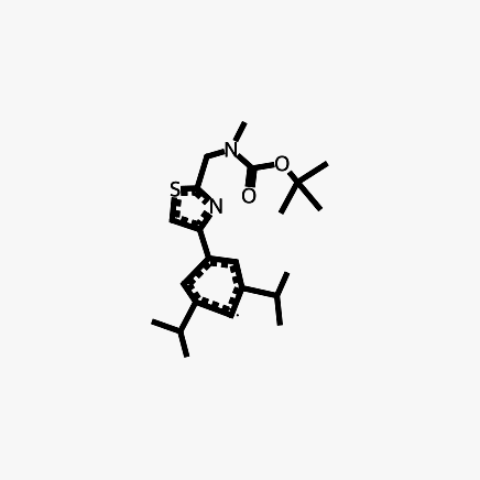 CC(C)c1[c]c(C(C)C)cc(-c2csc(CN(C)C(=O)OC(C)(C)C)n2)c1